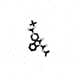 C=C(C)OC(=O)N1C(=O)C2(CCN(C(=O)OC(C)(C)C)CC2)c2ccccc21